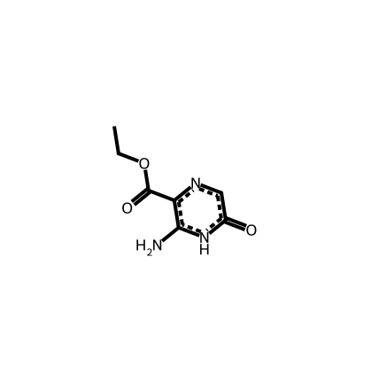 CCOC(=O)c1ncc(=O)[nH]c1N